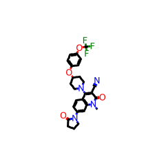 Cn1c(=O)c(C#N)c(N2CCC(Oc3ccc(OC(F)(F)F)cc3)CC2)c2ccc(N3CCCC3=O)cc21